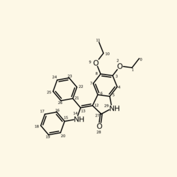 CCOc1cc2c(cc1OCC)/C(=C(/Nc1ccccc1)c1ccccc1)C(=O)N2